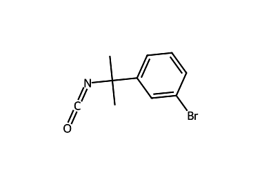 CC(C)(N=C=O)c1cccc(Br)c1